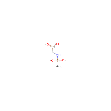 O=S(O)CNS(=O)(=O)C(F)(F)F